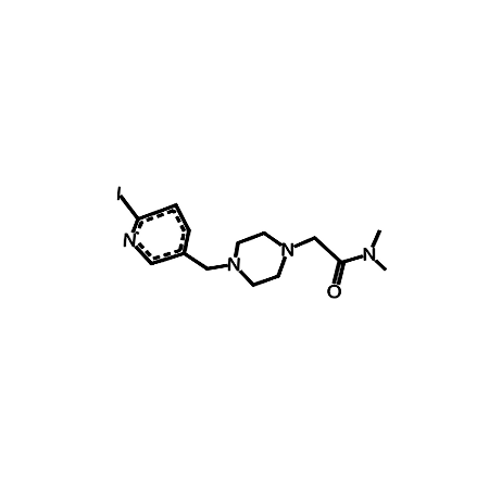 CN(C)C(=O)CN1CCN(Cc2ccc(I)nc2)CC1